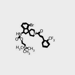 C[Si](C)(C)CCOC(=O)NC1CC2(CCN(C(=O)C=Cc3ccccc3C(F)(F)F)CC2)c2c(Br)cccc21